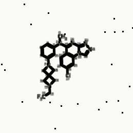 CN(c1cccc(N2CC3(CN(CC(F)(F)F)C3)C2)c1)c1nc2nncn2c2cc(Cl)ccc12